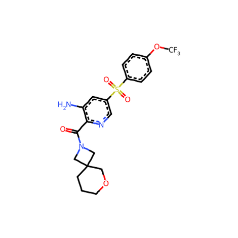 Nc1cc(S(=O)(=O)c2ccc(OC(F)(F)F)cc2)cnc1C(=O)N1CC2(CCCOC2)C1